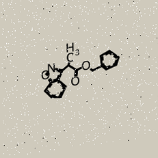 CC(C(=O)OCc1ccccc1)c1noc2ccccc12